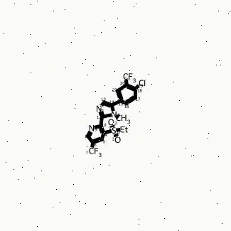 CCS(=O)(=O)c1cc(C(F)(F)F)cnc1-c1ncc(-c2ccc(Cl)c(C(F)(F)F)c2)n1C